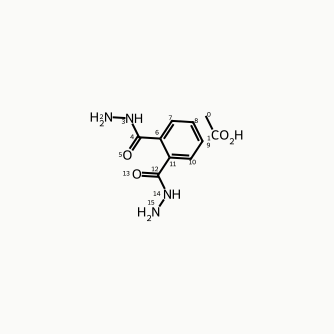 CC(=O)O.NNC(=O)c1ccccc1C(=O)NN